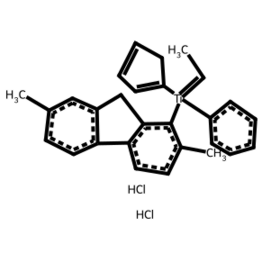 C[CH]=[Ti]([C]1=CC=CC1)([c]1ccccc1)[c]1c(C)ccc2c1Cc1cc(C)ccc1-2.Cl.Cl